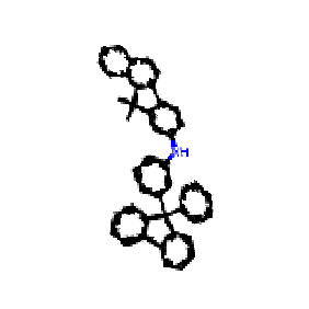 CC1(C)c2cc(Nc3cccc(C4(c5ccccc5)c5ccccc5-c5ccccc54)c3)ccc2-c2ccc3ccccc3c21